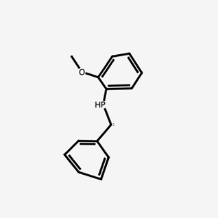 COc1ccccc1P[C]c1ccccc1